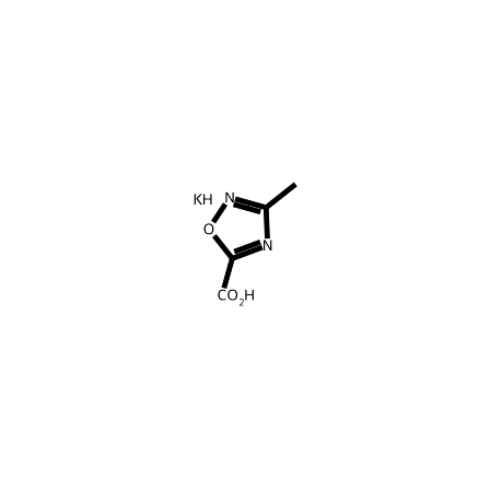 Cc1noc(C(=O)O)n1.[KH]